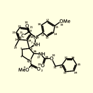 COC(=O)N1CC[C@](NN(C(=O)C(F)(F)F)c2ccc(OC)cc2)(c2ccccc2C)C1NC(=O)OCc1ccccc1